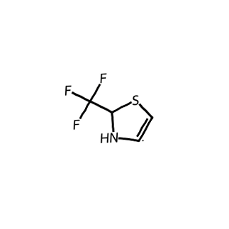 FC(F)(F)C1N[C]=CS1